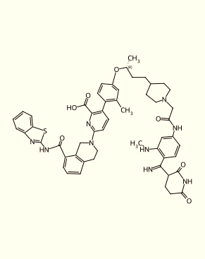 CNc1cc(NC(=O)CN2CCC(CC[C@@H](C)Oc3ccc(-c4ccc(N5CCc6cccc(C(=O)Nc7nc8ccccc8s7)c6C5)nc4C(=O)O)c(C)c3)CC2)ccc1C(=N)C1CCC(=O)NC1=O